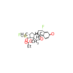 CCC(=O)O[C@]1(C(=O)SCF)[C@H](C)CC2C3C[C@H](F)C4=CC(=O)C=C[C@]4(C)[C@@]34O[C@H]4C[C@@]21C